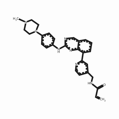 C=CC(=O)NCc1ccnc(-c2cccc3cnc(Nc4ccc(N5CCN(C)CC5)cc4)nc23)c1